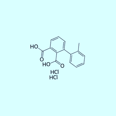 Cc1ccccc1-c1cccc(C(=O)O)c1C(=O)O.Cl.Cl